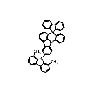 Cc1cccc2c3cccc(C)c3n(-c3ccc4c(c3)c3cccc5c3n4-c3ccccc3[Si]5(c3ccccc3)c3ccccc3)c12